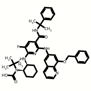 CC(C)(NC(=O)c1cc(F)c(N[C@H]2CCCC[C@H]2N(C(=O)O)C(C)(C)C)nc1Nc1cc(OCc2ccccc2)c2ncccc2c1)c1ccccc1